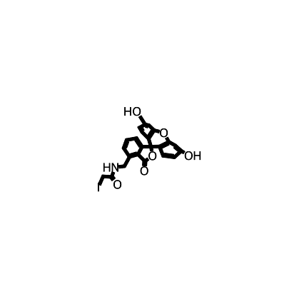 O=C(CI)NCc1cccc2c1C(=O)OC21c2ccc(O)cc2Oc2cc(O)ccc21